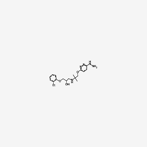 CCc1ccccc1OCC(O)CNC(C)(C)COc1ccc(NN)nn1